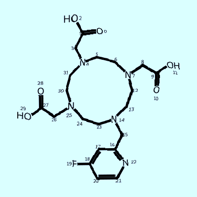 O=C(O)CN1CCN(CC(=O)O)CCN(Cc2cc(F)ccn2)CCN(CC(=O)O)CC1